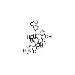 NC(=O)C1=C(O)[C@@]2(O)C(O)=C3C(=O)c4c(O)cccc4/C(=C\c4ccc5c(c4)OCO5)[C@H]3[C@H](O)[C@H]2CC1=O